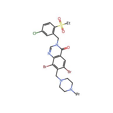 CCS(=O)(=O)c1ccc(Cl)cc1Cn1cnc2c(Br)c(CN3CCN(C(C)C)CC3)c(Br)cc2c1=O